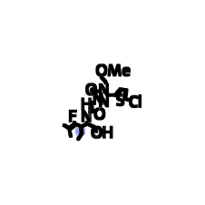 C/C=C(\C(F)=C(C)C)C(CO)NC(=O)Cn1nc(-c2ccc(Cl)s2)n(CCOC)c1=O